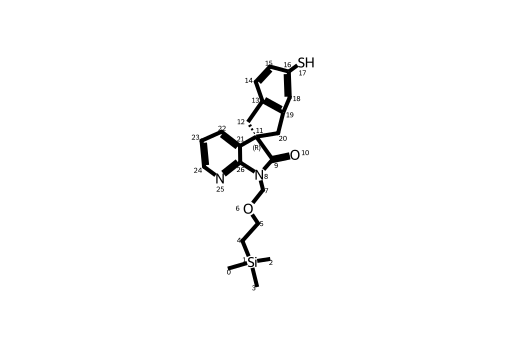 C[Si](C)(C)CCOCN1C(=O)[C@@]2(Cc3ccc(S)cc3C2)c2cccnc21